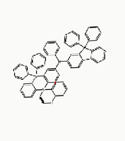 c1ccc(N(c2ccc3c(c2)C(c2ccccc2)(c2ccccc2)c2ccccc2-3)c2ccc3c(c2)S(c2ccccc2)(c2ccccc2)c2ccccc2[Si]32c3ccccc3Oc3ccccc32)cc1